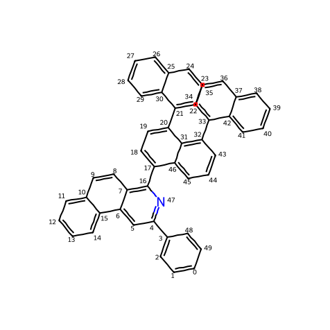 c1ccc(-c2cc3c(ccc4ccccc43)c(-c3ccc(-c4cccc5ccccc45)c4c(-c5cccc6ccccc56)cccc34)n2)cc1